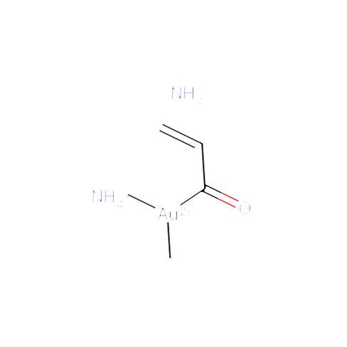 C=C[C](=O)[Au-2]([CH3])[CH3].[NH4+].[NH4+]